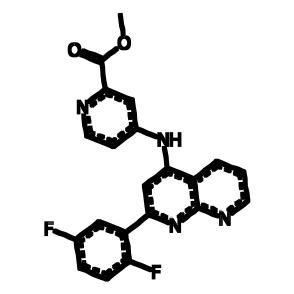 COC(=O)c1cc(Nc2cc(-c3cc(F)ccc3F)nc3ncccc23)ccn1